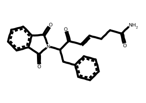 NC(=O)CCC=CC(=O)C(Cc1ccccc1)N1C(=O)c2ccccc2C1=O